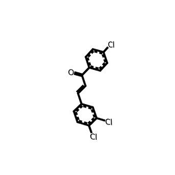 O=C(C=Cc1ccc(Cl)c(Cl)c1)c1ccc(Cl)cc1